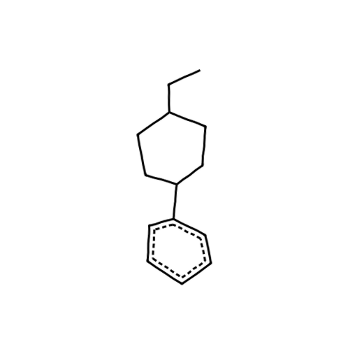 CCC1CCC(c2ccccc2)CC1